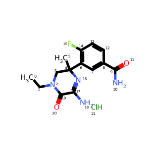 CCN1CC(C)(c2cc(C(N)=O)ccc2F)N=C(N)C1=O.Cl